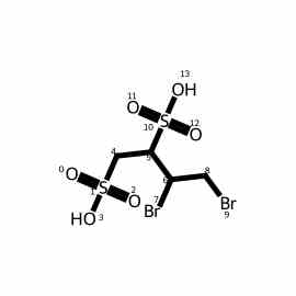 O=S(=O)(O)CC(C(Br)CBr)S(=O)(=O)O